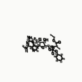 CCOC(=O)C(C)N[P@](=O)(OC[C@H]1O[C@@H](n2cnc3c(NC)nc(N)nc32)[C@@](Cl)(CF)[C@@H]1O)Oc1ccccc1